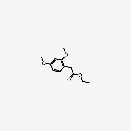 CCOC(=O)Cc1ccc(OC)cc1OC